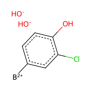 [B+2]c1ccc(O)c(Cl)c1.[OH-].[OH-]